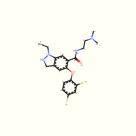 CC(C)CN1NCc2cc(Oc3ccc(F)cc3F)c(C(=O)NCCN(C)C)cc21